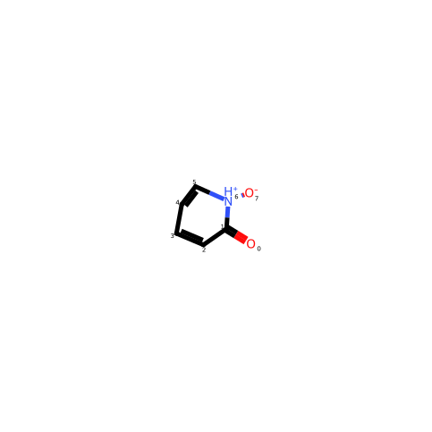 O=C1C=CC=C[NH+]1[O-]